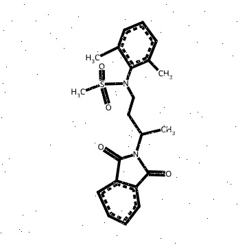 Cc1cccc(C)c1N(CCC(C)N1C(=O)c2ccccc2C1=O)S(C)(=O)=O